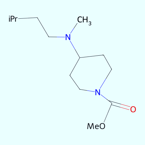 COC(=O)N1CCC(N(C)CCC(C)C)CC1